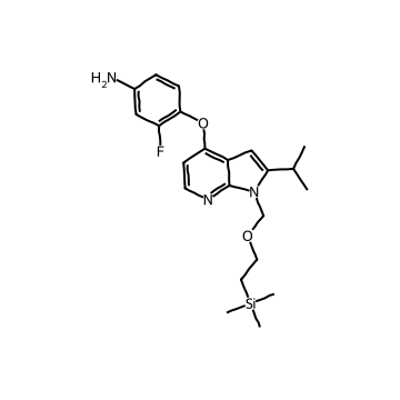 CC(C)c1cc2c(Oc3ccc(N)cc3F)ccnc2n1COCC[Si](C)(C)C